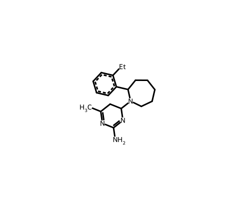 CCc1ccccc1C1CCCCCN1C1CC(C)=NC(N)=N1